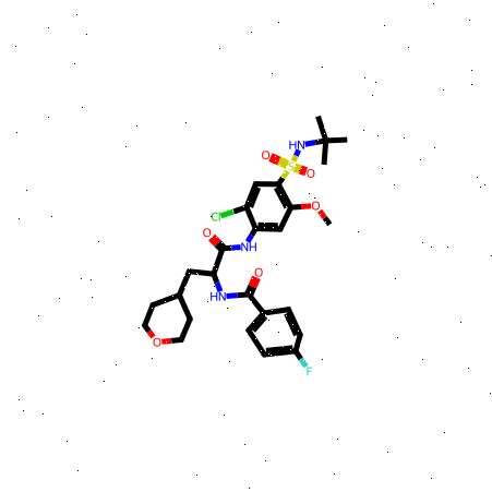 COc1cc(NC(=O)C(CC2CCOCC2)NC(=O)c2ccc(F)cc2)c(Cl)cc1S(=O)(=O)NC(C)(C)C